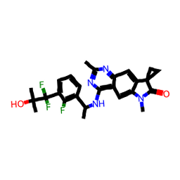 Cc1nc(NC(C)c2cccc(C(F)(F)C(C)(C)O)c2F)c2cc3c(cc2n1)C1(CC1)C(=O)N3C